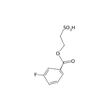 O=C(OCCS(=O)(=O)O)c1cccc(F)c1